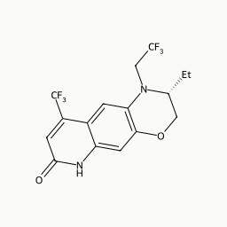 CC[C@@H]1COc2cc3[nH]c(=O)cc(C(F)(F)F)c3cc2N1CC(F)(F)F